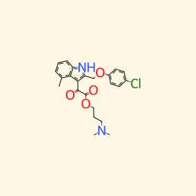 Cc1cccc2[nH]c(COc3ccc(Cl)cc3)c(C(=O)C(=O)OCCCN(C)C)c12